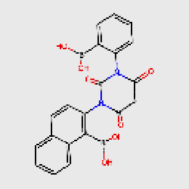 O=C1CC(=O)N(c2ccc3ccccc3c2B(O)O)C(=O)N1c1ccccc1B(O)O